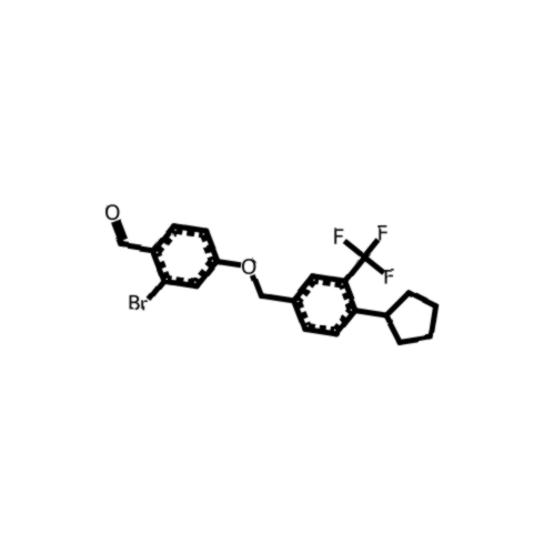 O=Cc1ccc(OCc2ccc(C3CCCC3)c(C(F)(F)F)c2)cc1Br